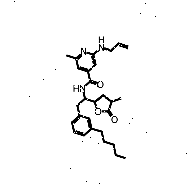 C=CCNc1cc(C(=O)NC(Cc2cccc(CCCCC)c2)C2CC(C)C(=O)O2)cc(C)n1